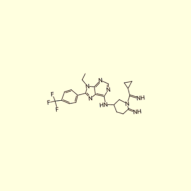 CCn1c(-c2ccc(C(F)(F)F)cc2)nc2c(NC3CCC(=N)N(C(=N)C4CC4)C3)ncnc21